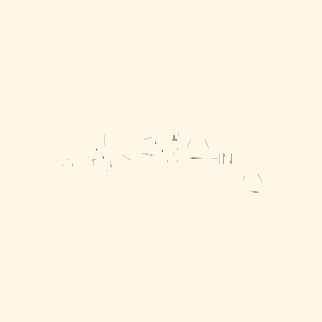 O=C(/C=C/c1ccn(S(=O)(=O)c2ccc(CNCc3ccccc3)cc2)c1)NOC1CCCCO1